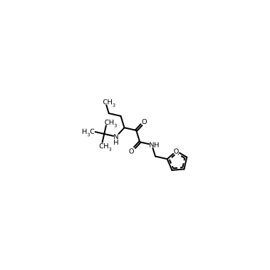 CCCC(NC(C)(C)C)C(=O)C(=O)NCc1ccco1